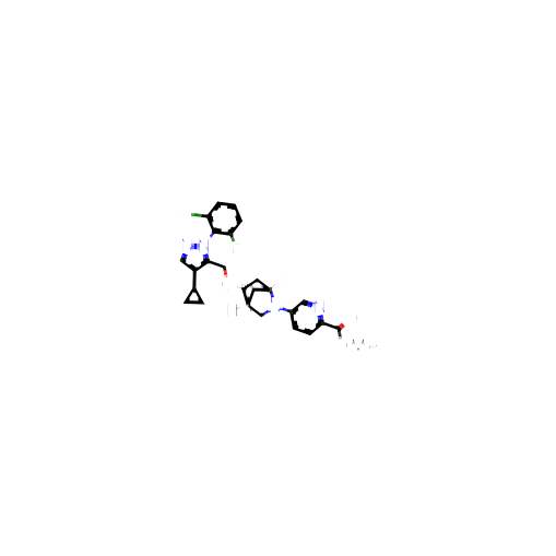 COC(=O)c1ccc(N2C[C@@H]3C[C@H]2C[C@H]3OCc2c(C3CC3)cnn2-c2c(Cl)cccc2Cl)cn1